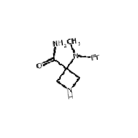 CC(C)N(C)C1(C(N)=O)CNC1